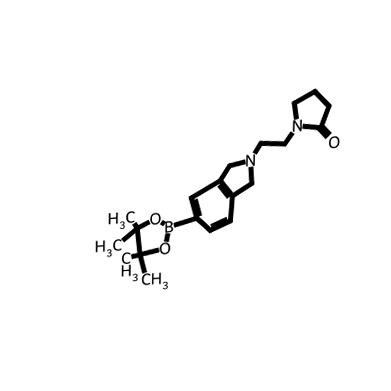 CC1(C)OB(c2ccc3c(c2)CN(CCN2CCCC2=O)C3)OC1(C)C